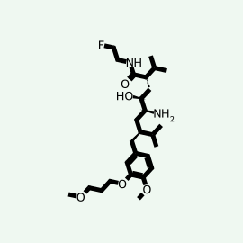 COCCCOc1cc(C[C@@H](C[C@H](N)[C@@H](O)C[C@H](C(=O)NCCF)C(C)C)C(C)C)ccc1OC